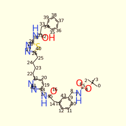 CC(C)(C)OC(=O)NCc1cccc(CC(=O)Nc2ccc(CCCCc3nnc(NC(O)Cc4ccccc4)s3)nn2)c1